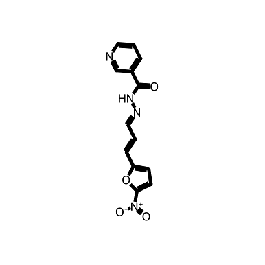 O=C(NN=CC=Cc1ccc([N+](=O)[O-])o1)c1cccnc1